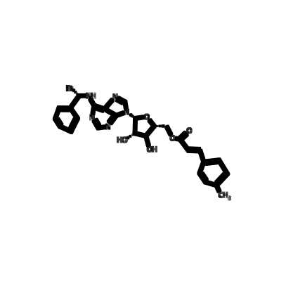 CC[C@H](Nc1ncnc2c1ncn2[C@@H]1O[C@H](COC(=O)/C=C/c2ccc(C)cc2)C(O)[C@@H]1O)c1ccccc1